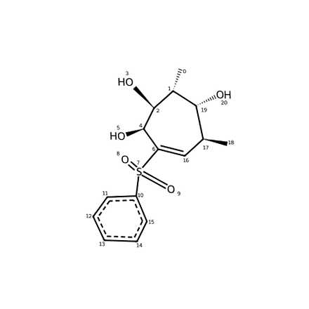 C[C@H]1[C@H](O)[C@H](O)C(S(=O)(=O)c2ccccc2)=C[C@H](C)[C@H]1O